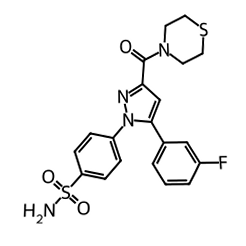 NS(=O)(=O)c1ccc(-n2nc(C(=O)N3CCSCC3)cc2-c2cccc(F)c2)cc1